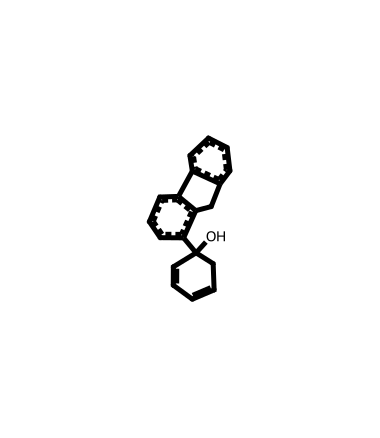 OC1(c2cccc3c2Cc2ccccc2-3)C=CC=CC1